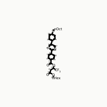 CCCCCCCCOc1ccc(-c2cnc(-c3ccc(C(=O)OC(CC(=O)OCCCCCC)C(F)(F)F)cc3)nc2)cc1